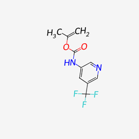 C=C(C)OC(=O)Nc1cncc(C(F)(F)F)c1